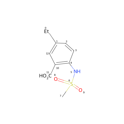 CCc1ccc(NS(C)(=O)=O)c(C(=O)O)c1